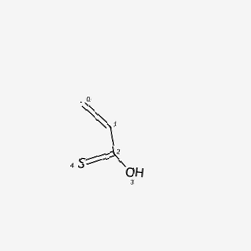 [CH]=CC(O)=S